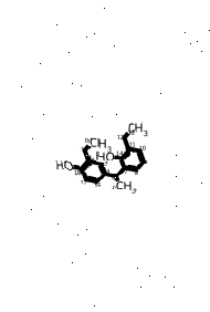 CCc1cc(C(C)c2cccc(CC)c2O)ccc1O